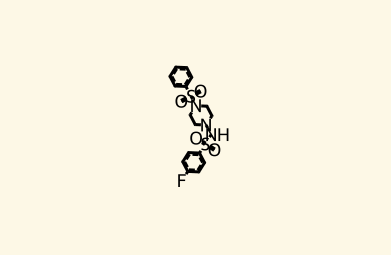 O=S(=O)(NN1CCN(S(=O)(=O)c2ccccc2)CC1)c1ccc(F)cc1